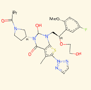 COc1ccc(F)cc1[C@H](CN1c2sc(-n3nccn3)c(C)c2C(=O)N([C@@H]2CCN(C(=O)C(C)C)C2)C1O)OCCO